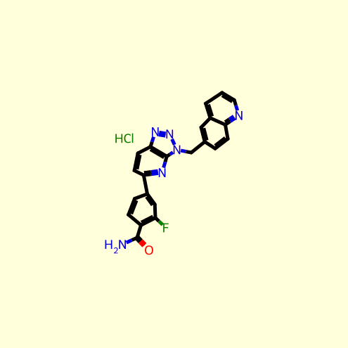 Cl.NC(=O)c1ccc(-c2ccc3nnn(Cc4ccc5ncccc5c4)c3n2)cc1F